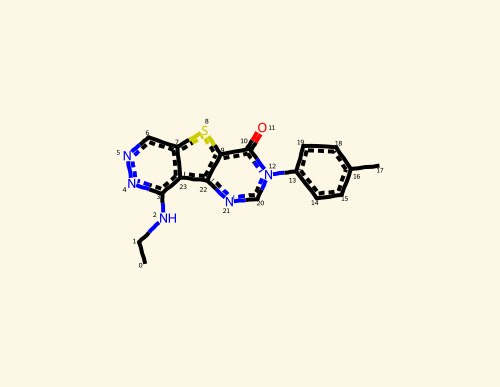 CCNc1nncc2sc3c(=O)n(-c4ccc(C)cc4)cnc3c12